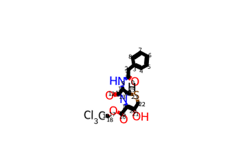 O=C(Cc1ccccc1)NC1C(=O)N2C(C(=O)OCC(Cl)(Cl)Cl)=C(O)CS[C@@H]12